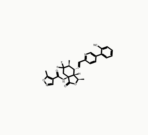 Cc1oncc1C(=O)N[C@@]12CC(F)(F)[C@@H](C)[C@H](/C=C/c3ccc(-c4ccccc4C#N)cn3)[C@@H]1[C@@H](C)OC2=O